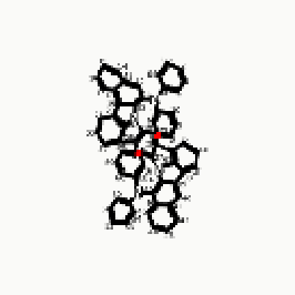 c1ccc(N(c2ccccc2)c2cc3ccccc3c3c4cccc5c6nc7c(cc6n(c23)c54)c2cccc3c4cc5ccccc5c(N(c5ccccc5)c5ccccc5)c4n7c23)cc1